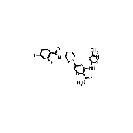 Cc1cc(Nc2nc(N3CCCC(NC(=O)c4ccc(F)cc4F)C3)cnc2C(N)=O)sn1